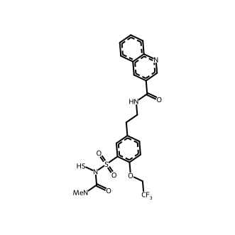 CNC(=O)N(S)S(=O)(=O)c1cc(CCNC(=O)c2cnc3ccccc3c2)ccc1OCC(F)(F)F